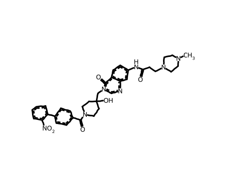 CN1CCN(CCC(=O)Nc2ccc3c(=O)n(CC4(O)CCN(C(=O)c5ccc(-c6ccccc6[N+](=O)[O-])cc5)CC4)cnc3c2)CC1